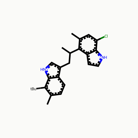 Cc1cc(Cl)c2[nH]ccc2c1C(C)Cc1c[nH]c2c(C(C)(C)C)c(C)ccc12